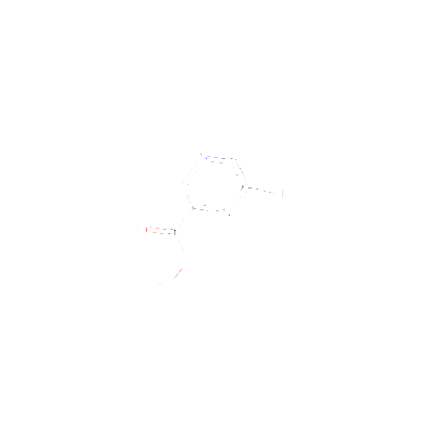 CCOC(=O)c1cncc(C)n1